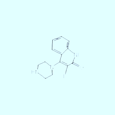 O=c1[nH]c2ccccc2c(N2CCNCC2)c1F